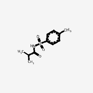 Cc1ccc(S(=O)(=O)NC(=O)C(C)C)cc1